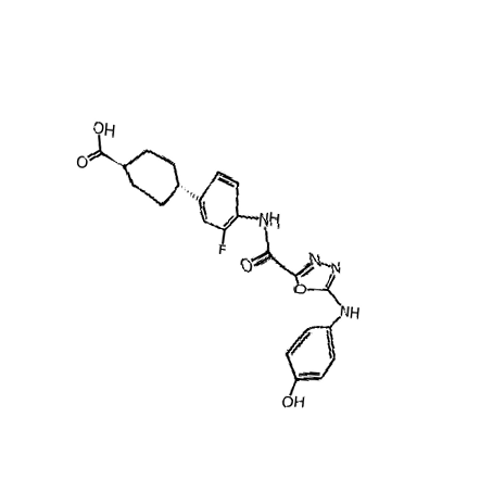 O=C(Nc1ccc([C@H]2CC[C@H](C(=O)O)CC2)cc1F)c1nnc(Nc2ccc(O)cc2)o1